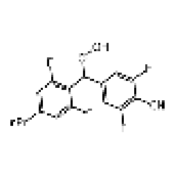 CCCc1cc(F)c(C(OO)c2cc(F)c(C#N)c(F)c2)c(F)c1